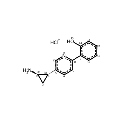 Cl.N[C@@H]1C[C@H]1c1ccc(-c2ccccc2O)nc1